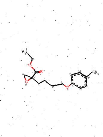 CCOC(=O)C1(CCCCOc2ccc(C)cc2)CO1